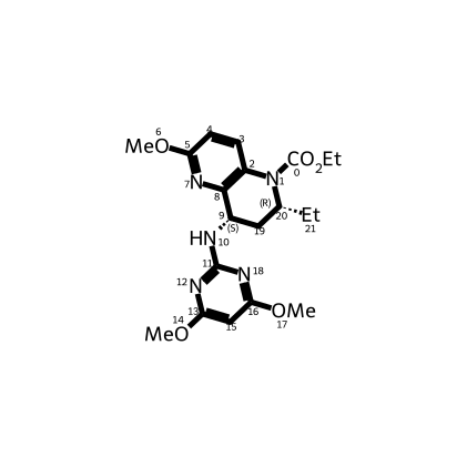 CCOC(=O)N1c2ccc(OC)nc2[C@@H](Nc2nc(OC)cc(OC)n2)C[C@H]1CC